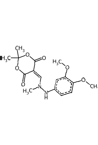 COc1ccc(NN(C)C=C2C(=O)OC(C)(C)OC2=O)cc1OC